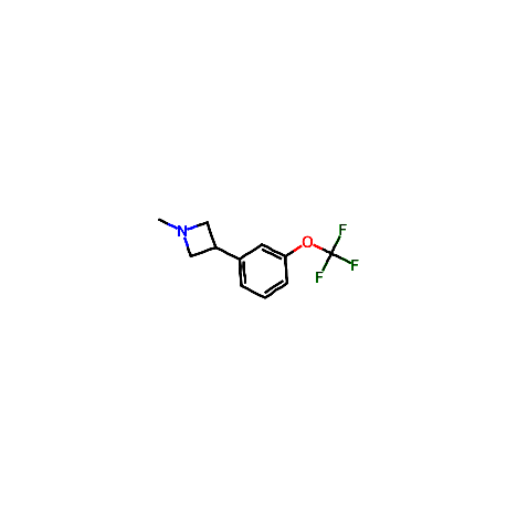 CN1CC(c2cccc(OC(F)(F)F)c2)C1